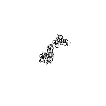 CCOC(=O)NC(=O)NC1C=C[C@]2(O[C@H](C(CC)C(=O)[C@@H](C)[C@@H](O)C3(C)C[C@]34O[C@@H]([C@@H](CC)C(=O)O)CC[C@@H]4C)[C@@H](C)C[C@H]2C)O[C@@]12CC[C@@](C)([C@H]1CC[C@](O)(CC)[C@H](C)O1)O2